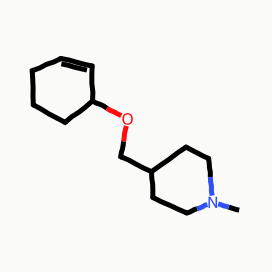 CN1CCC(COC2C=CCCC2)CC1